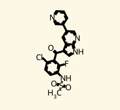 CS(=O)(=O)Nc1ccc(Cl)c(C(=O)c2c[nH]c3ncc(-c4cccnc4)cc23)c1F